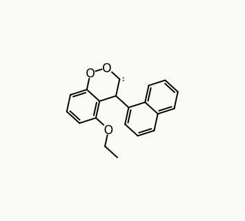 CCOc1cccc2c1C(c1cccc3ccccc13)[C]OO2